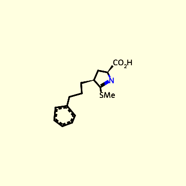 CSC1=N[C@H](C(=O)O)C[C@@H]1CCCc1ccccc1